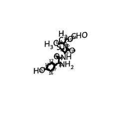 CC1(C)SC2C(NC(=O)[C@H](N)c3ccc(O)cc3)C(=O)N2C1COC=O